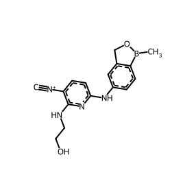 [C-]#[N+]c1ccc(Nc2ccc3c(c2)COB3C)nc1NCCO